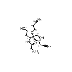 CCC(=O)NN(CCO)C(CO)(OCCC#N)OCCC#N